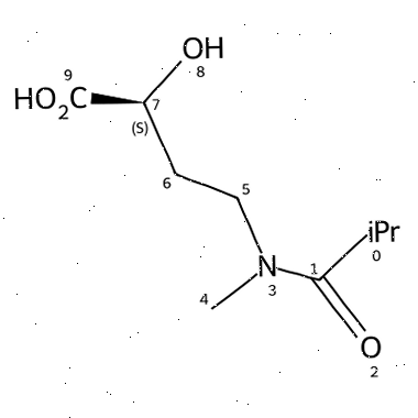 CC(C)C(=O)N(C)CC[C@H](O)C(=O)O